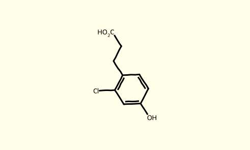 O=C(O)CCc1ccc(O)cc1Cl